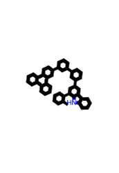 Cc1ccccc1-c1cc(-c2cccc(-c3cccc(-c4ccc5c6ccccc6c6ccccc6c5c4)c3)c2)cc2c1[nH]c1ccccc12